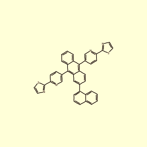 c1ccc2c(-c3ccc4c(-c5ccc(-c6nccs6)nc5)c5ccccc5c(-c5ccc(-c6nccs6)nc5)c4c3)cccc2c1